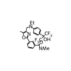 CCN(Cc1nc(-c2cccc(C(=O)NC)c2)oc1C)c1ccc(C(O)(C(F)(F)F)C(F)(F)F)cc1